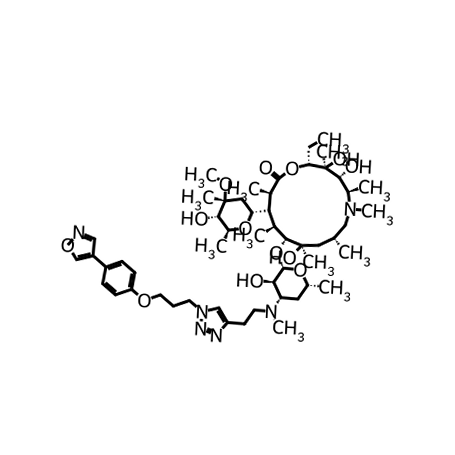 CC[C@H]1OC(=O)[C@H](C)C([C@H]2C[C@@](C)(OC)[C@@H](O)[C@H](C)O2)[C@H](C)[C@@H](O[C@@H]2O[C@H](C)C[C@H](N(C)CCc3cn(CCCOc4ccc(-c5cnoc5)cc4)nn3)[C@H]2O)[C@](C)(O)C[C@@H](C)CN(C)[C@H](C)[C@@H](O)[C@]1(C)O